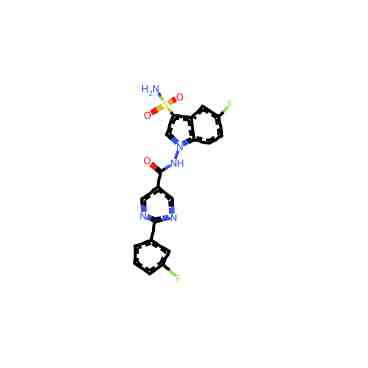 NS(=O)(=O)c1cn(NC(=O)c2cnc(-c3cccc(F)c3)nc2)c2ccc(F)cc12